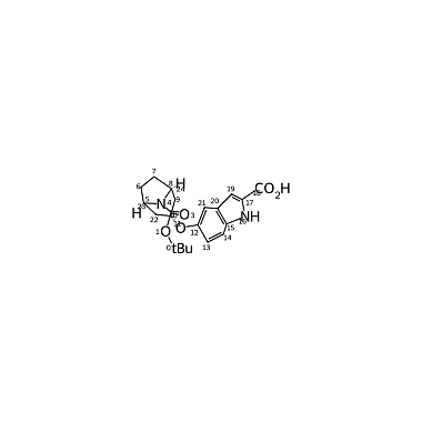 CC(C)(C)OC(=O)N1[C@@H]2CC[C@H]1C[C@H](Oc1ccc3[nH]c(C(=O)O)cc3c1)C2